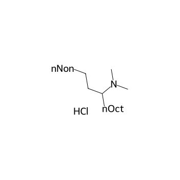 CCCCCCCCCCCC(CCCCCCCC)N(C)C.Cl